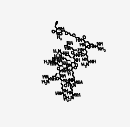 C#CC[C@@H](NC(=O)COCCOCCNC(=O)[C@@H](CCCNC(=N)N)NC(=O)[C@@H](CCCNC(=N)N)NC(=O)[C@@H](CCCNC(C)=N)NC(=O)[C@@H](CCCNC(N)N)NC(=O)[C@@H](CCCNC(=N)N)NC(=O)[C@@H](CCCNC(=N)N)NC(=O)[C@@H](CCCNC(=N)N)NC(=O)[C@@H](CCCNC(=N)N)NC(=O)[C@@H](CCCNC(=N)N)NC(=O)[C@H](N)CCCNC(=N)N)C(N)=O